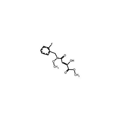 COC(=O)/C(O)=C/C(=O)N(Cc1ccccc1F)OC